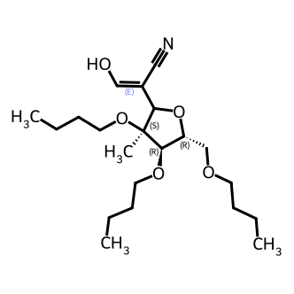 CCCCOC[C@H]1OC(/C(C#N)=C/O)[C@](C)(OCCCC)[C@@H]1OCCCC